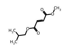 COC(=O)/C=C/C(=O)OCC(C)C